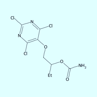 CCC(COc1c(Cl)nc(Cl)nc1Cl)OC(N)=O